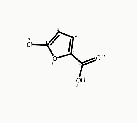 O=C(O)c1ccc(Cl)o1